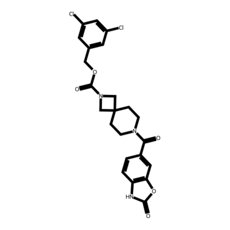 O=C(OCc1cc(Cl)cc(Cl)c1)N1CC2(CCN(C(=O)c3ccc4[nH]c(=O)oc4c3)CC2)C1